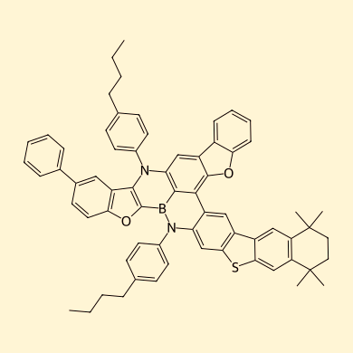 CCCCc1ccc(N2B3c4oc5ccc(-c6ccccc6)cc5c4N(c4ccc(CCCC)cc4)c4cc5c(oc6ccccc65)c(c43)-c3cc4c(cc32)sc2cc3c(cc24)C(C)(C)CCC3(C)C)cc1